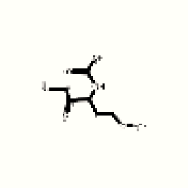 COCCC(NC(=O)O)C(=O)CBr